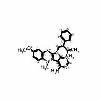 COc1ccc(OC)c(Sc2nc3c(N)ncnc3n2CC(c2ccccc2)C(C)C)c1